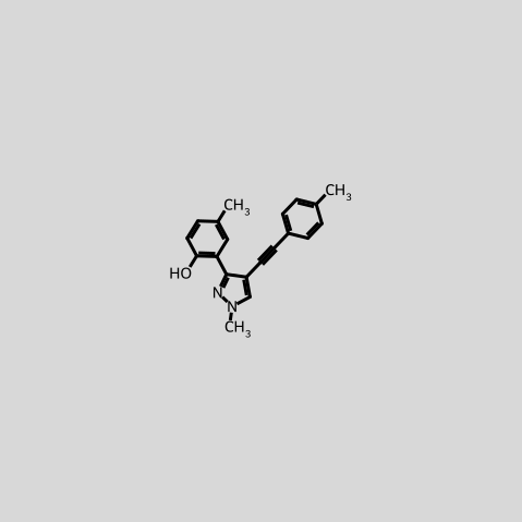 Cc1ccc(C#Cc2cn(C)nc2-c2cc(C)ccc2O)cc1